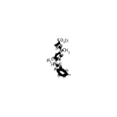 CCOC(=O)c1csc(N(C)c2cc(C)c(Nc3nc4ccccc4s3)nn2)n1